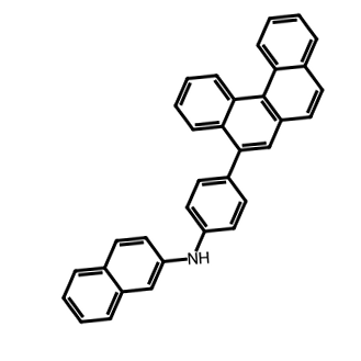 c1ccc2cc(Nc3ccc(-c4cc5ccc6ccccc6c5c5ccccc45)cc3)ccc2c1